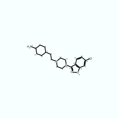 NC1CCC(CCN2CCN(c3noc4cc(Cl)ccc34)CC2)CC1